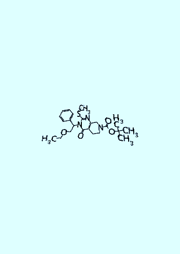 CCOCC(c1ccccc1)n1c(SC)nc2c(c1=O)CCN(C(=O)OC(C)(C)C)C2